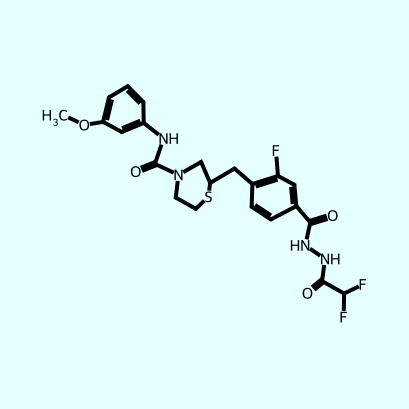 COc1cccc(NC(=O)N2CCSC(Cc3ccc(C(=O)NNC(=O)C(F)F)cc3F)C2)c1